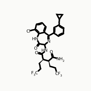 NC(=O)[C@@H](CCC(F)(F)F)[C@@H](CCC(F)(F)F)C(=O)NC1N=C(c2cccc(C3CC3)c2)c2cccc(Cl)c2NC1=O